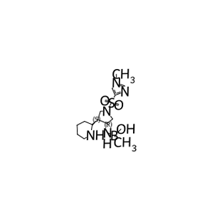 CB(O)N[C@H]1CN(S(=O)(=O)c2cn(C)cn2)C[C@@H]1C1CCCCN1